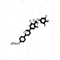 CCCCCC1CCC(C2CCC(c3cc(F)c(C(F)(F)Oc4cc(F)c(F)c(F)c4)c(F)c3)=CO2)CC1